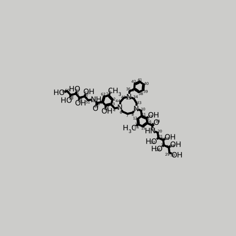 Cc1cc(CN2CCCN(Cc3cc(C)cc(C(=O)NCC(O)C(O)C(O)C(O)CO)c3O)CCN(Cc3ccccc3)CC2)c(O)c(C(=O)NCC(O)C(O)C(O)C(O)CO)c1